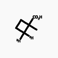 [2H]C1([2H])CCC1(C)C(=O)O